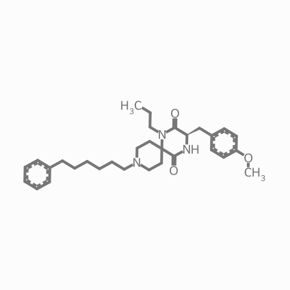 CCCN1C(=O)[C@@H](Cc2ccc(OC)cc2)NC(=O)C12CCN(CCCCCCc1ccccc1)CC2